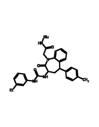 CCc1cccc(NC(=O)NC2CC(c3ccc(C)cc3)c3ccccc3N(CC(=O)NC(C)(C)C)C2=O)c1